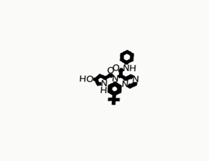 CC(C)(C)c1ccc(N(C(=O)C2CC(O)CN2)C(C(=O)NC2CCCCC2)c2cnccn2)cc1